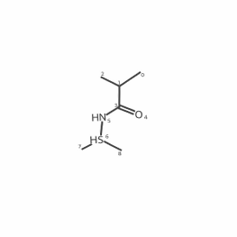 CC(C)C(=O)N[SH](C)C